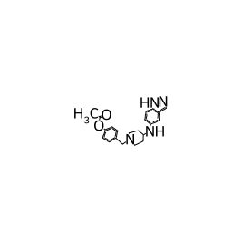 CC(=O)Oc1ccc(CN2CCC(Nc3ccc4[nH]ncc4c3)CC2)cc1